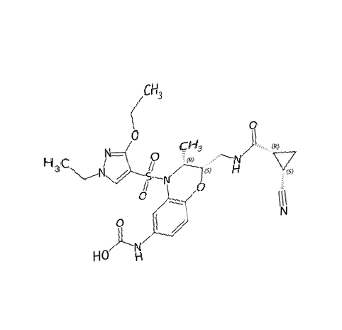 CCOc1nn(CC)cc1S(=O)(=O)N1c2cc(NC(=O)O)ccc2O[C@@H](CNC(=O)[C@@H]2C[C@@H]2C#N)[C@H]1C